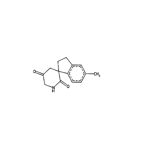 Cc1ccc2c(c1)CCC21CC(=O)CNC1=O